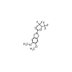 COc1cc2c(cc1OC)CN(C(=O)OC(C(F)(F)F)C(F)(F)F)C2